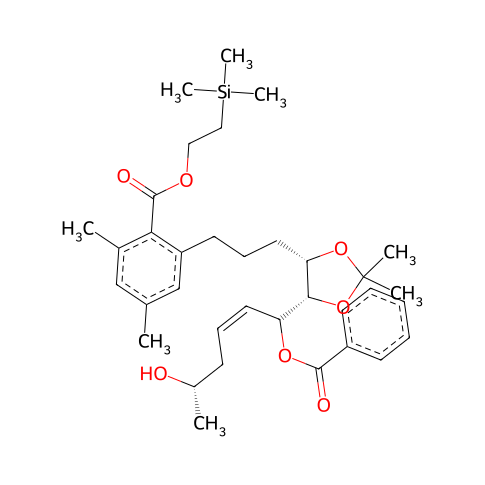 Cc1cc(C)c(C(=O)OCC[Si](C)(C)C)c(CCC[C@@H]2OC(C)(C)O[C@@H]2C(/C=C\C[C@H](C)O)OC(=O)c2ccccc2)c1